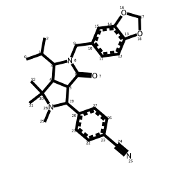 CC(C)C1C2C(C(=O)N1Cc1ccc3c(c1)OCO3)C(c1ccc(C#N)cc1)N(C)C2(C)C